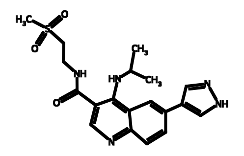 CC(C)Nc1c(C(=O)NCCS(C)(=O)=O)cnc2ccc(-c3cn[nH]c3)cc12